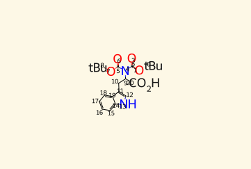 CC(C)(C)OC(=O)N(C(=O)OC(C)(C)C)C(Cc1c[nH]c2ccccc12)C(=O)O